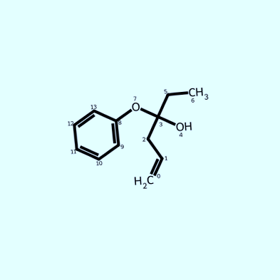 C=CCC(O)(CC)Oc1ccccc1